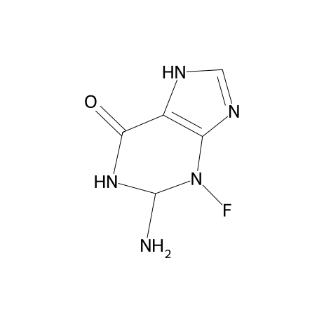 NC1NC(=O)c2[nH]cnc2N1F